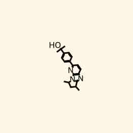 CC1CC(C)n2c1nc1ccc(-c3ccc(C(C)(C)O)cc3)nc12